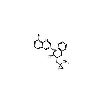 CC1(CC(Cc2ccccc2)C(=O)Nc2cnc3c(F)cccc3c2)CC1